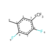 Cc1cc(C(F)(F)F)c(F)cc1F